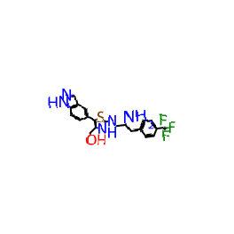 N[C@@H](CNc1nc(CO)c(-c2ccc3[nH]ncc3c2)s1)Cc1ccc(C(F)(F)F)cc1